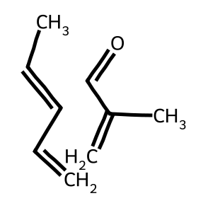 C=C(C)C=O.C=CC=CC